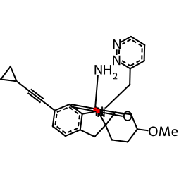 COC1CCC2(CC1)Cc1ccc(C#CC3CC3)cc1C21N=C(N)N(Cc2cccnn2)C1=O